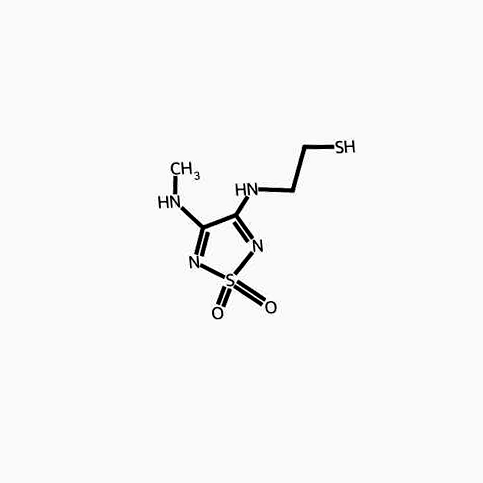 CNC1=NS(=O)(=O)N=C1NCCS